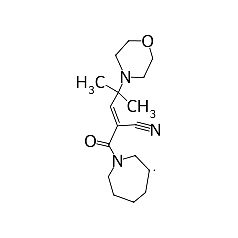 CC(C)(C=C(C#N)C(=O)N1C[CH]CCCC1)N1CCOCC1